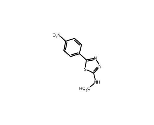 O=C(O)Nc1nnc(-c2ccc([N+](=O)[O-])cc2)s1